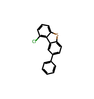 Clc1cccc2sc3ccc(-c4ccccc4)cc3c12